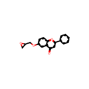 O=c1cc(-c2ccccc2)oc2ccc(OCC3CO3)cc12